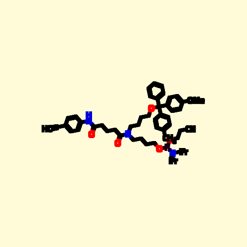 C#Cc1ccc(NC(=O)CCCC(=O)N(CCCCOP(OCCC#N)N(C(C)C)C(C)C)CCCCOC(c2ccccc2)(c2ccc(C)cc2)c2ccc(OC)cc2)cc1